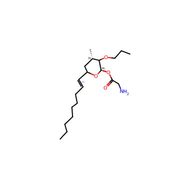 CCCCCCC/C=C/C1C[C@H](C)C(OCCC)[C@@H](OC(=O)CN)O1